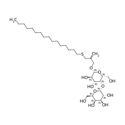 C=C(CO[C@@H]1O[C@H](CO)[C@H](O[C@H]2O[C@H](CO)[C@H](O)[C@H](O)[C@H]2O)[C@H](O)[C@H]1O)CSCCCCCCCCCCCCCCCC